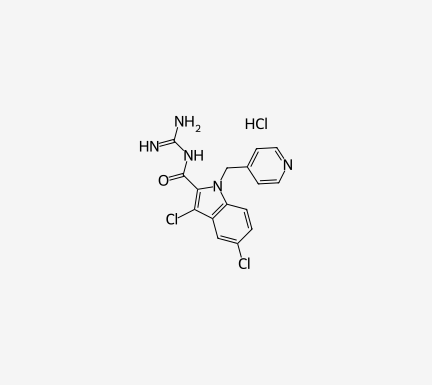 Cl.N=C(N)NC(=O)c1c(Cl)c2cc(Cl)ccc2n1Cc1ccncc1